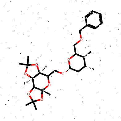 C[C@@H]1C[C@H](OCC2O[C@@H]3OC(C)(C)OC3[C@H]3OC(C)(C)O[C@@H]23)OC(COCc2ccccc2)[C@H]1C